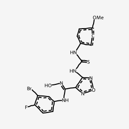 COc1ccc(NC(=S)Nc2nonc2/C(=N/O)Nc2ccc(F)c(Br)c2)cc1